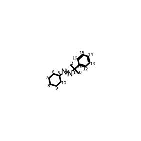 CC(C)(N=NC1CCCCC1)c1ccccc1